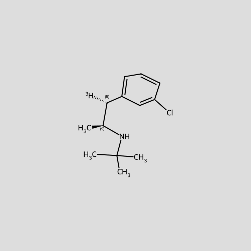 [3H][C@H](c1cccc(Cl)c1)[C@H](C)NC(C)(C)C